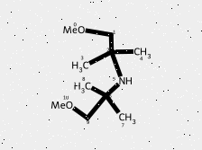 COCC(C)(C)NC(C)(C)COC